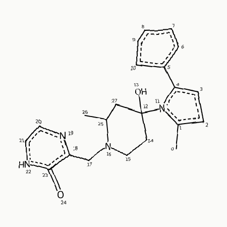 Cc1ccc(-c2ccccc2)n1C1(O)CCN(Cc2ncc[nH]c2=O)C(C)C1